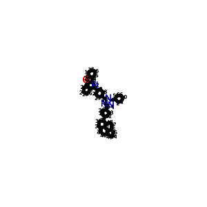 c1ccc(-c2nc(-c3ccc(-c4nc5c6ccccc6oc5c5ccccc45)cc3)nc(-c3ccc(-c4ccc5ccc6cccc7ccc4c5c67)cc3)n2)cc1